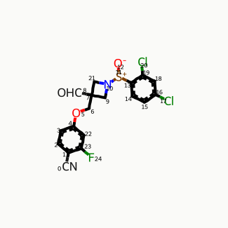 N#Cc1ccc(OCC2(C=O)CN([S+]([O-])c3ccc(Cl)cc3Cl)C2)cc1F